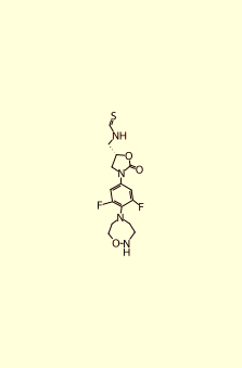 O=C1O[C@@H](CNC=S)CN1c1cc(F)c(N2CCNOCC2)c(F)c1